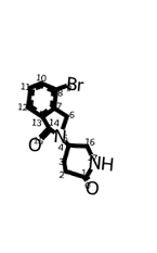 O=C1CCC(N2Cc3c(Br)cccc3C2=O)CN1